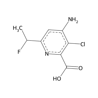 CC(F)c1cc(N)c(Cl)c(C(=O)O)n1